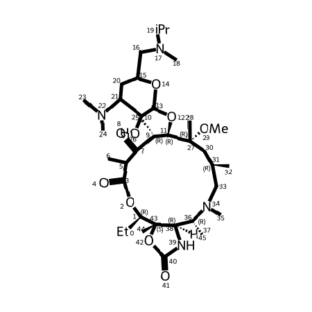 CC[C@H]1OC(=O)C(C)C(=O)[C@H](C)[C@@H](OC2OC(CN(C)C(C)C)CC(N(C)C)C2O)[C@](C)(OC)C[C@@H](C)CN(C)[C@H](C)[C@H]2NC(=O)O[C@@]21C